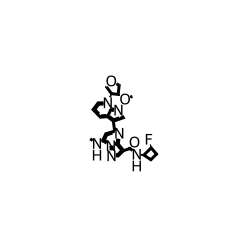 CNc1cc(-c2cnc3n([C@H]4COC[C@@H]4OC)cccc2-3)nc2c(C(=O)N[C@@H]3CC[C@H]3F)cnn12